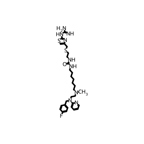 CN(CCCCCCCNC(=O)NCCSCc1csc(NC(=N)N)n1)CCN(Cc1ccc(F)cc1)c1ccccn1